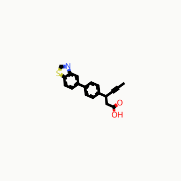 CC#CC(CC(=O)O)c1ccc(-c2ccc3scnc3c2)cc1